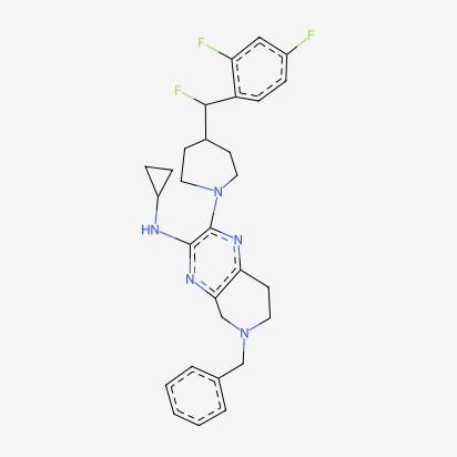 Fc1ccc(C(F)C2CCN(c3nc4c(nc3NC3CC3)CN(Cc3ccccc3)CC4)CC2)c(F)c1